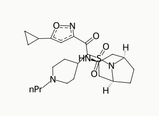 CCCN1CCC(CS(=O)(=O)N2[C@@H]3CC[C@H]2C[C@@H](NC(=O)c2cc(C4CC4)on2)C3)CC1